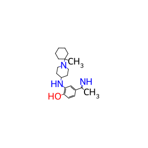 CC(=N)c1ccc(O)c(NC2CCN(C3(C)CCCCC3)CC2)c1